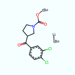 CC(C)(C)OC(=O)N1CCC(C(=O)c2ccc(Cl)c(Cl)c2)C1.[Li][C](C)(C)C